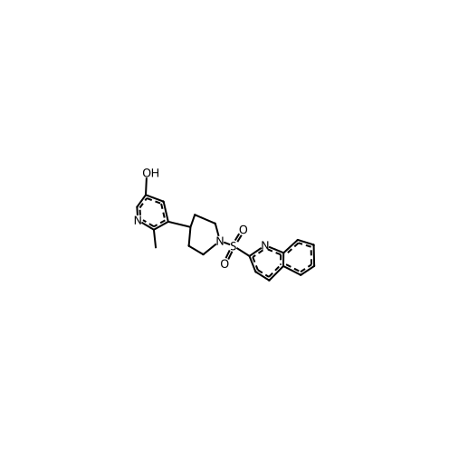 Cc1ncc(O)cc1C1CCN(S(=O)(=O)c2ccc3ccccc3n2)CC1